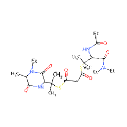 CCC(=O)NC(C(=O)N(CC)CC)C(C)(C)SC(=O)CC(=O)SC(C)(C)C1NC(=O)C(C)N(CC)C1=O